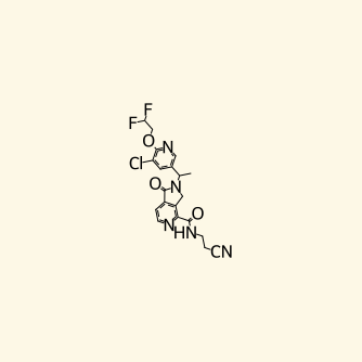 CC(c1cnc(OCC(F)F)c(Cl)c1)N1Cc2c(ccnc2C(=O)NCCC#N)C1=O